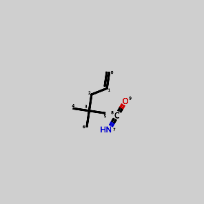 C=CCC(C)(C)C.N=C=O